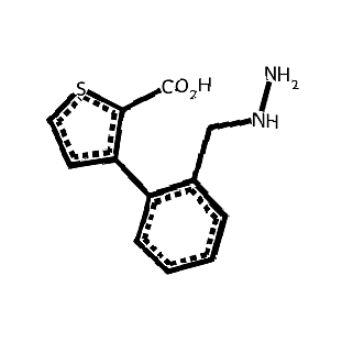 NNCc1ccccc1-c1ccsc1C(=O)O